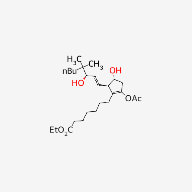 CCCCC(C)(C)[C@H](O)/C=C/[C@@H]1C(CCCCCCC(=O)OCC)=C(OC(C)=O)C[C@H]1O